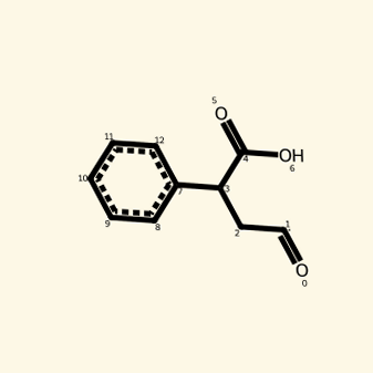 O=[C]CC(C(=O)O)c1ccccc1